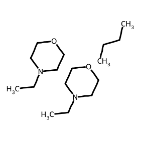 CCCC.CCN1CCOCC1.CCN1CCOCC1